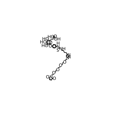 O=C1C=CC(=O)N1CCOCCOCCOCCOCCn1cc(CCCCNC(=S)Nc2ccc(O[C@H]3O[C@H](CCP(=O)(O)O)[C@@H](O)[C@H](O)[C@@H]3O)cc2)nn1